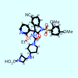 CCOc1ncccc1C1(NC(=O)N2CCC(NC3CN(C(=O)O)C3)CC2)C(=O)N(S(=O)(=O)c2ccc(OC)cc2OC)c2ccc(C#N)cc21